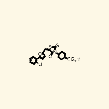 O=C(O)C1CCC(N2C(=O)/C(=C\c3ccc(-c4ccccc4Cl)o3)SC2=S)CC1